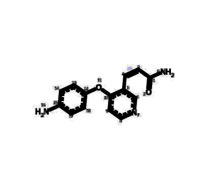 NC(=O)/C=C\c1cnccc1Oc1ccc(N)cc1